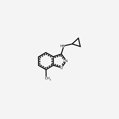 Cc1cccc2c(NC3CC3)noc12